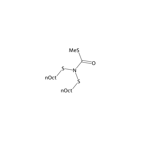 [CH2]SC(=O)N(SCCCCCCCC)SCCCCCCCC